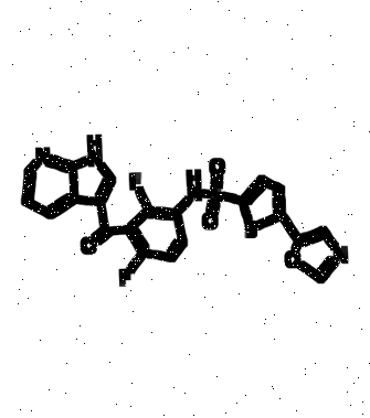 O=C(c1c(F)ccc(NS(=O)(=O)c2ccc(-c3cnco3)s2)c1F)c1c[nH]c2ncccc12